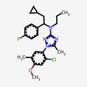 CCCN(c1nc(C)n(-c2cc(C)c(OC)cc2Cl)n1)C(CC1CC1)c1ccc(F)cc1